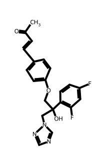 CC(=O)C=Cc1ccc(OCC(O)(Cn2cncn2)c2ccc(F)cc2F)cc1